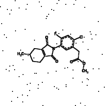 COC(=O)Cc1cc(N2C(=O)C3=C(CC(C)CC3)C2=O)c(F)cc1Cl